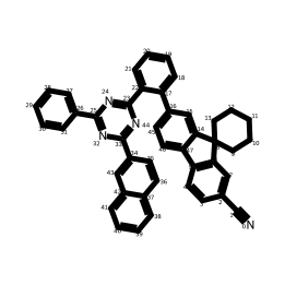 N#Cc1ccc2c(c1)C1(CCCCC1)c1cc(-c3ccccc3-c3nc(-c4ccccc4)nc(-c4ccc5ccccc5c4)n3)ccc1-2